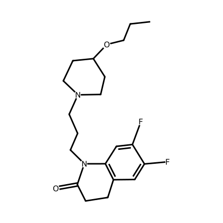 CCCOC1CCN(CCCN2C(=O)CCc3cc(F)c(F)cc32)CC1